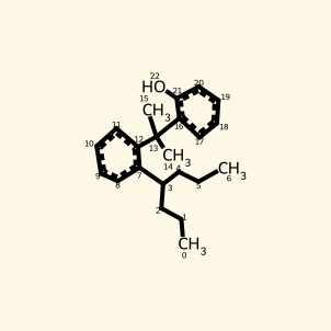 CCCC(CCC)c1ccccc1C(C)(C)c1ccccc1O